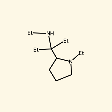 CCNC(CC)(CC)C1CCCN1CC